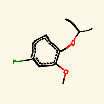 COc1cc(F)ccc1OC(C)C